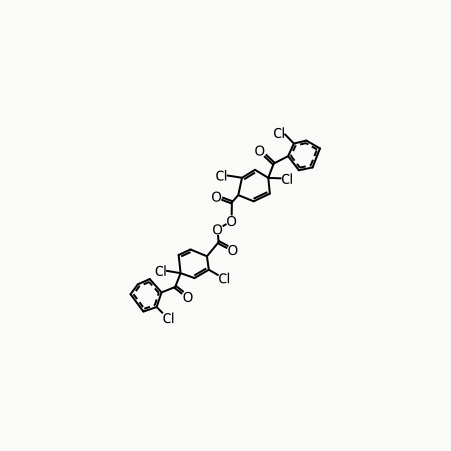 O=C(OOC(=O)C1C=CC(Cl)(C(=O)c2ccccc2Cl)C=C1Cl)C1C=CC(Cl)(C(=O)c2ccccc2Cl)C=C1Cl